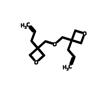 C=CCC1(COCC2(CC=C)COC2)COC1